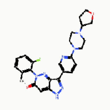 Cc1cccc(F)c1-n1nc2c(-c3ccc(N4CCN(C5CCOC5)CC4)nc3)n[nH]c2cc1=O